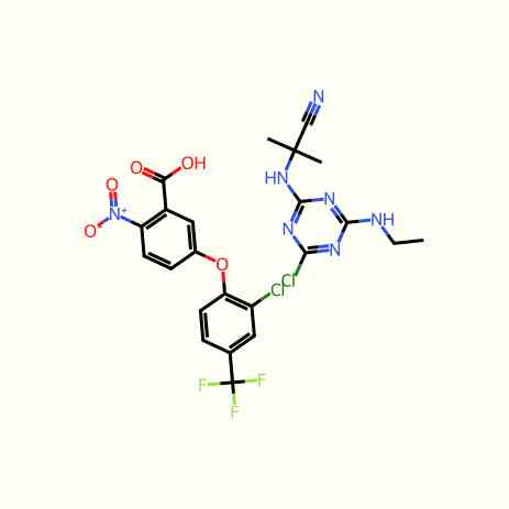 CCNc1nc(Cl)nc(NC(C)(C)C#N)n1.O=C(O)c1cc(Oc2ccc(C(F)(F)F)cc2Cl)ccc1[N+](=O)[O-]